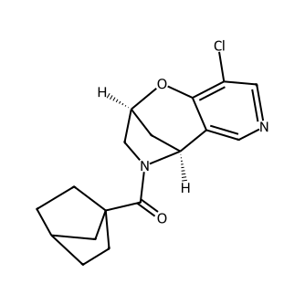 O=C(N1C[C@@H]2C[C@H]1c1cncc(Cl)c1O2)C12CCC(CC1)C2